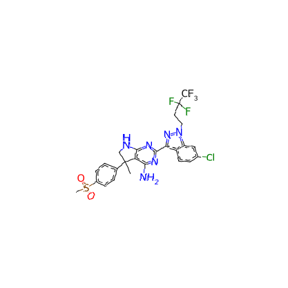 CC1(c2ccc(S(C)(=O)=O)cc2)CNc2nc(-c3nn(CCC(F)(F)C(F)(F)F)c4cc(Cl)ccc34)nc(N)c21